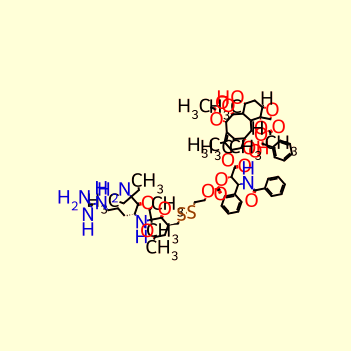 CCC(N)(CC)C(=O)[C@@H](CCCNC(=N)N)NC(C)(CC)C(=O)[C@@H](CSSCCOC(=O)O[C@@H](C(=O)O[C@H]1C[C@@]2(O)[C@@H](OC(=O)c3ccccc3)[C@@H]3[C@]4(OC(C)=O)CO[C@@H]4C[C@H](O)[C@@]3(C)C(=O)[C@H](OC(C)=O)C(=C1C)C2(C)C)[C@@H](NC(=O)c1ccccc1)c1ccccc1)CC(C)=O